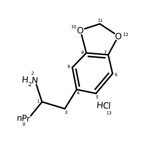 CCCC(N)Cc1ccc2c(c1)OCO2.Cl